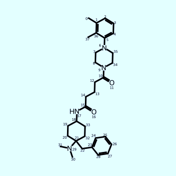 Cc1cccc(N2CCN(C(=O)CCCC(=O)NC3CCC(Cc4ccccc4)(N(C)C)CC3)CC2)c1C